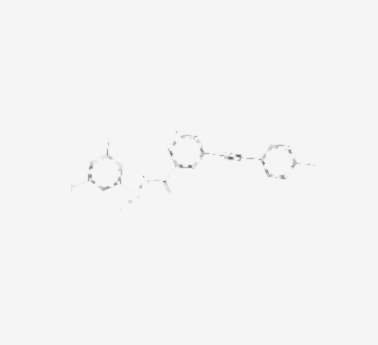 Cc1ccc(C#Cc2cncc(C(=O)N=S(C)(=O)c3cc(Cl)cc(Cl)c3)c2)cc1